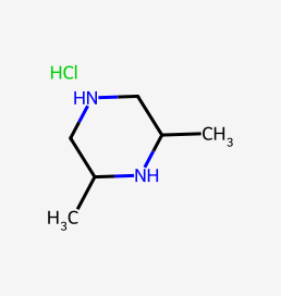 CC1CNCC(C)N1.Cl